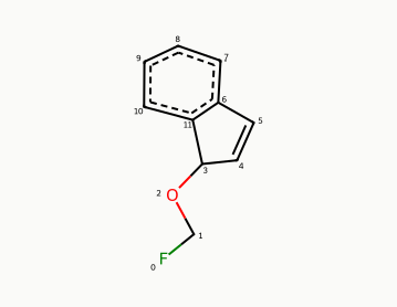 FCOC1C=Cc2[c]cccc21